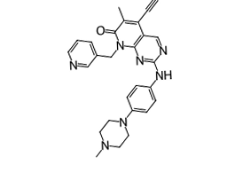 C#Cc1c(C)c(=O)n(Cc2cccnc2)c2nc(Nc3ccc(N4CCN(C)CC4)cc3)ncc12